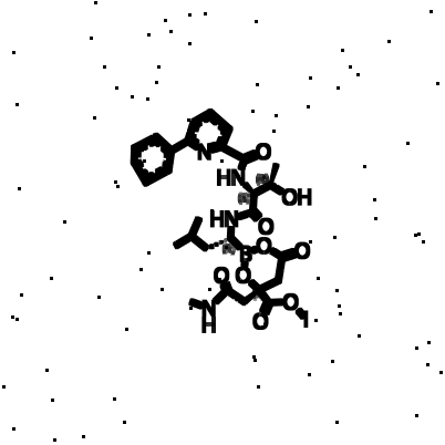 CNC(=O)C[C@]1(C(=O)OI)CC(=O)OB([C@H](CC(C)C)NC(=O)[C@@H](NC(=O)c2cccc(-c3ccccc3)n2)[C@@H](C)O)O1